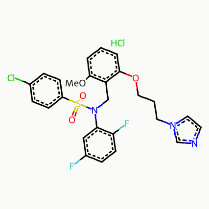 COc1cccc(OCCCn2ccnc2)c1CN(c1cc(F)ccc1F)S(=O)(=O)c1ccc(Cl)cc1.Cl